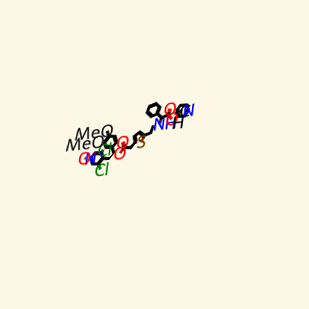 COc1ccc([C@H](Cc2c(Cl)c[n+]([O-])cc2Cl)OC(=O)Cc2ccc(CCNC(C(=O)O[C@H]3CN4CCC3CC4)c3ccccc3)s2)cc1OC